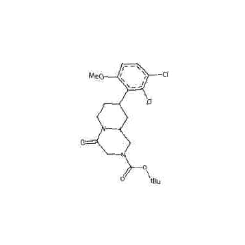 COc1ccc(Cl)c(Cl)c1C1CCN2C(=O)CN(C(=O)OC(C)(C)C)CC2C1